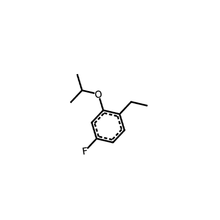 CCc1ccc(F)cc1OC(C)C